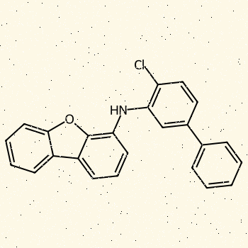 Clc1ccc(-c2ccccc2)cc1Nc1cccc2c1oc1ccccc12